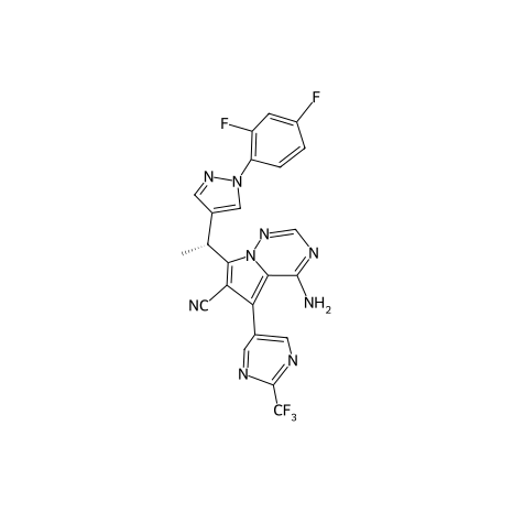 C[C@H](c1cnn(-c2ccc(F)cc2F)c1)c1c(C#N)c(-c2cnc(C(F)(F)F)nc2)c2c(N)ncnn12